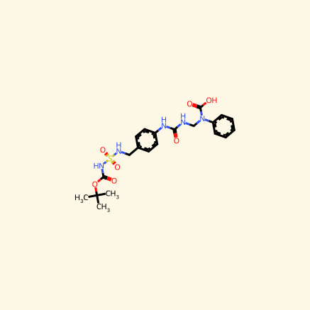 CC(C)(C)OC(=O)NS(=O)(=O)NCc1ccc(NC(=O)NCN(C(=O)O)c2ccccc2)cc1